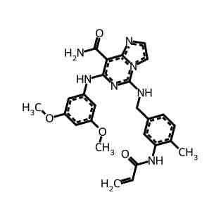 C=CC(=O)Nc1cc(CNc2nc(Nc3cc(OC)cc(OC)c3)c(C(N)=O)c3nccn23)ccc1C